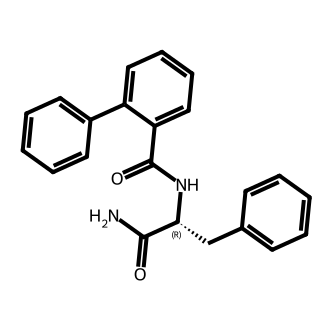 NC(=O)[C@@H](Cc1ccccc1)NC(=O)c1ccccc1-c1ccccc1